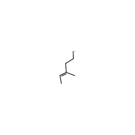 [CH2]CC/C(C)=C/C